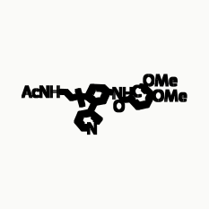 COc1ccc(C(=O)Nc2ccc(C(C)(C)CCNC(C)=O)c(-c3cccnc3)c2)cc1OC